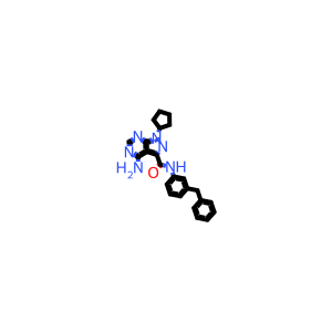 Nc1ncnc2c1c(C(=O)Nc1cccc(Cc3ccccc3)c1)nn2C1CCCC1